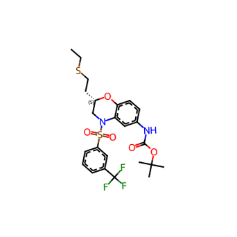 CCSCC[C@H]1CN(S(=O)(=O)c2cccc(C(F)(F)F)c2)c2cc(NC(=O)OC(C)(C)C)ccc2O1